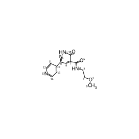 COCCNC(=O)c1cc(-c2ccncc2)n[nH]c1=O